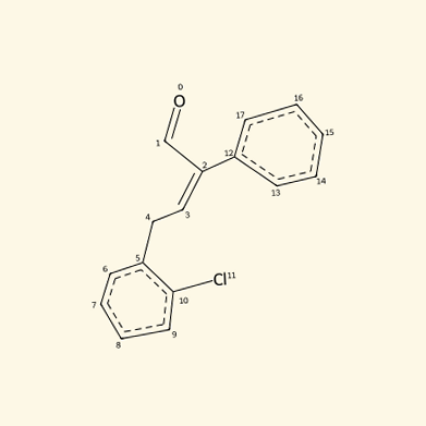 O=CC(=CCc1ccccc1Cl)c1ccccc1